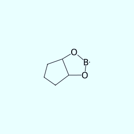 [B]1OC2CCCC2O1